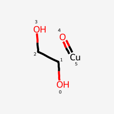 OCCO.[O]=[Cu]